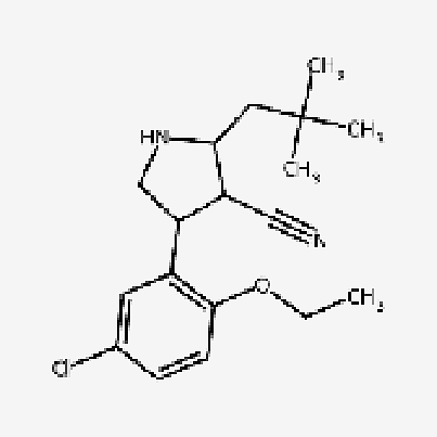 CCOc1ccc(Cl)cc1C1CNC(CC(C)(C)C)C1C#N